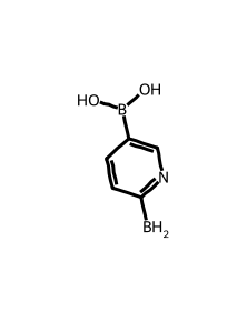 Bc1ccc(B(O)O)cn1